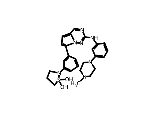 CN1CCN(c2cccc(Nc3ncc4ccc(-c5cccc(N6CCCS6(O)O)c5)n4n3)c2)CC1